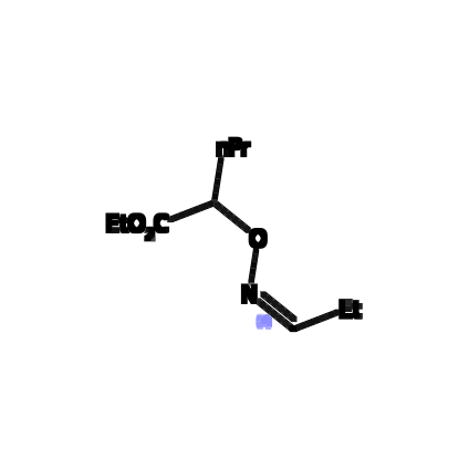 CC/C=N\OC(CCC)C(=O)OCC